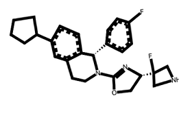 Fc1ccc([C@H]2c3ccc(C4CCCC4)cc3CCN2C2=N[C@H](C3(F)CNC3)CO2)cc1